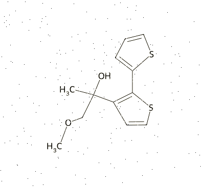 COCC(C)(O)c1ccsc1-c1cccs1